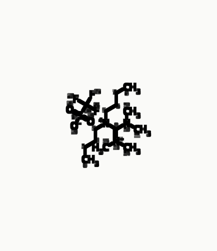 CCCCN(CCCC)C(N(C)C)=[N+](C)C.O=S(=O)([O-])C(F)(F)F